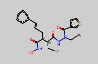 CC(C)C[C@@H](C(=O)NN(CC(C)C)C(=O)c1ccsc1)[C@H](CC=Cc1ccccc1)C(=O)NO